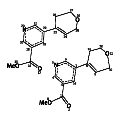 COC(=O)c1cncc(C2=CCOCC2)c1.COC(=O)c1cncc(C2=CCOCC2)c1